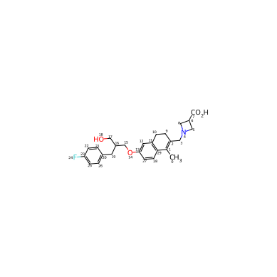 CC1=C(CN2CC(C(=O)O)C2)CCc2cc(OCC(CO)Cc3ccc(F)cc3)ccc21